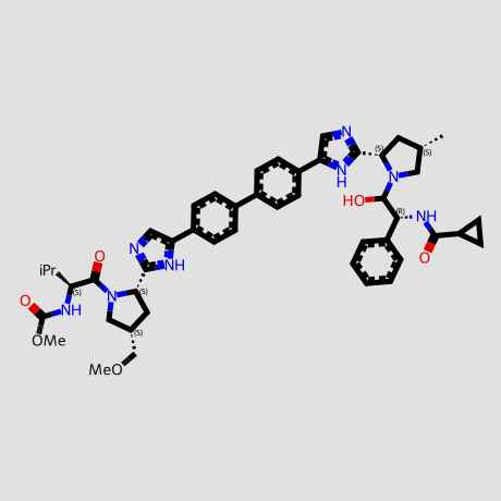 COC[C@H]1C[C@@H](c2ncc(-c3ccc(-c4ccc(-c5cnc([C@@H]6C[C@H](C)CN6C(O)[C@H](NC(=O)C6CC6)c6ccccc6)[nH]5)cc4)cc3)[nH]2)N(C(=O)[C@@H](NC(=O)OC)C(C)C)C1